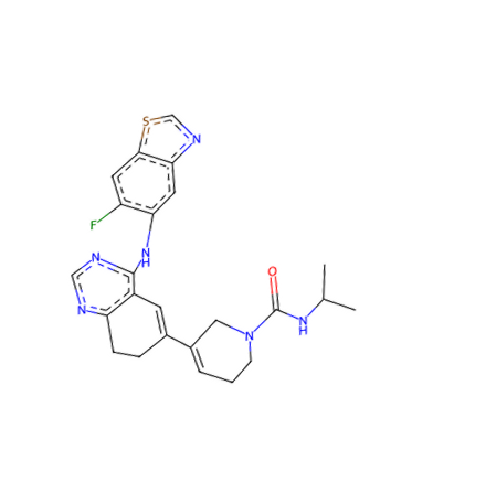 CC(C)NC(=O)N1CCC=C(C2=Cc3c(ncnc3Nc3cc4ncsc4cc3F)CC2)C1